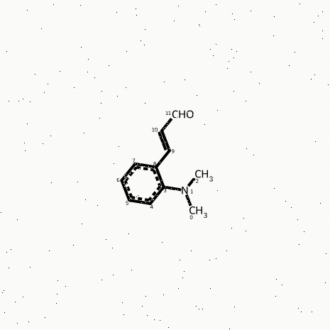 CN(C)c1ccccc1C=CC=O